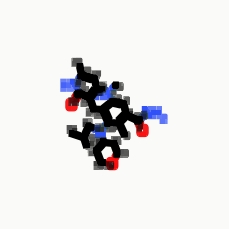 CNc1cc(C(N)=O)c(C)c(N(CC(C)C)C2CCOCC2)c1Cc1c(C)cc(C)[nH]c1=O